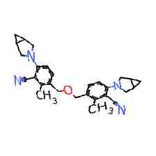 Cc1c(COCc2ccc(N3CC4CC4C3)c(C#N)c2C)ccc(N2CC3CC3C2)c1C#N